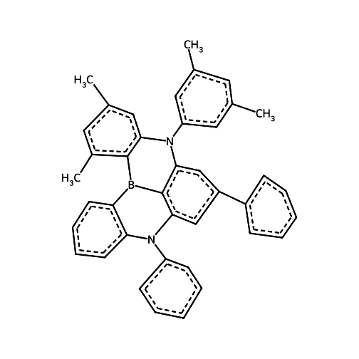 Cc1cc(C)cc(N2c3cc(C)cc(C)c3B3c4ccccc4N(c4ccccc4)c4cc(-c5ccccc5)cc2c43)c1